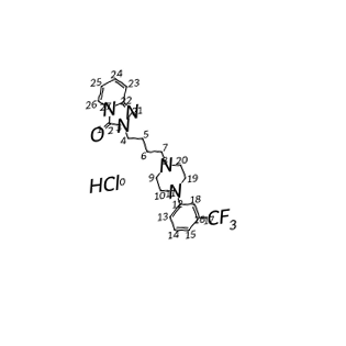 Cl.O=c1n(CCCCN2CCN(c3cccc(C(F)(F)F)c3)CC2)nc2ccccn12